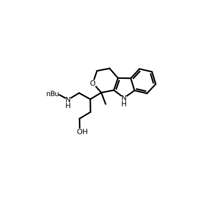 CCCCNCC(CCO)C1(C)OCCc2c1[nH]c1ccccc21